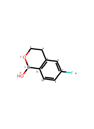 OB1OCCc2cc(F)ccc21